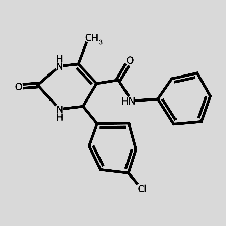 CC1=C(C(=O)Nc2ccccc2)C(c2ccc(Cl)cc2)NC(=O)N1